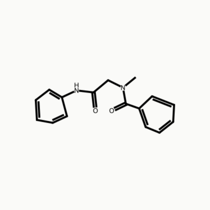 CN(CC(=O)Nc1ccccc1)C(=O)c1ccccc1